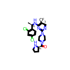 C[C@@H](Nc1nc(N2CCN(C(=O)[C@H]3CCCN3)CC2)ncc1C(F)(F)F)c1ccc(Cl)cc1Cl